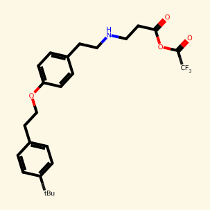 CC(C)(C)c1ccc(CCOc2ccc(CCNCCC(=O)OC(=O)C(F)(F)F)cc2)cc1